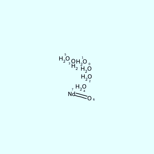 O.O.O.O.O.O.[O]=[Nd]